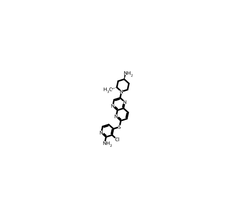 C[C@@H]1C[C@@H](N)CCN1c1cnc2nc(Sc3ccnc(N)c3Cl)ccc2n1